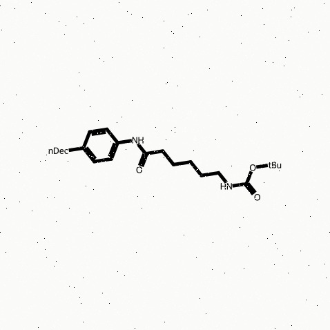 CCCCCCCCCCc1ccc(NC(=O)CCCCCNC(=O)OC(C)(C)C)cc1